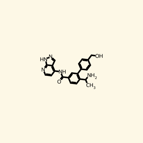 CC(N)c1ccc(C(=O)Nc2ccnc3[nH]ncc23)cc1-c1ccc(CO)cc1